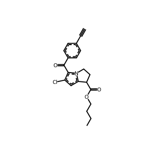 C#Cc1ccc(C(=O)c2c(Cl)cc3n2CCC3C(=O)OCCCC)cc1